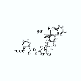 O=C([O-])c1ccccc1C(=O)OC[C@H]1CN(c2ccc3cc(-c4ccccc4C(F)(F)F)[nH]c(=O)c3c2)C(=O)O1.[Na+]